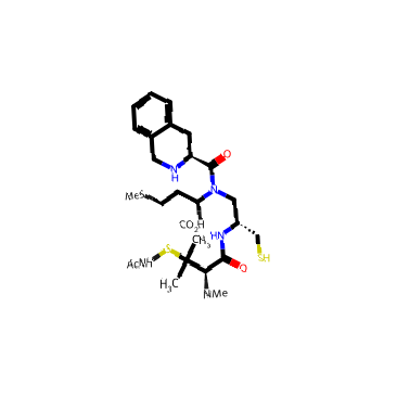 CN[C@H](C(=O)N[C@@H](CS)CN(C(=O)[C@@H]1Cc2ccccc2CN1)C(CCSC)C(=O)O)C(C)(C)SNC(C)=O